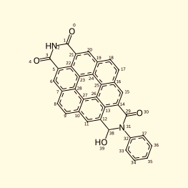 O=C1NC(=O)c2cc3ccc4cc5c6c(cc7ccc8cc1c2c1c8c7c6c4c31)C(=O)N(c1ccccc1)C5O